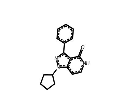 O=c1[nH]ccc2c1c(-c1ccccc1)nn2C1CCCC1